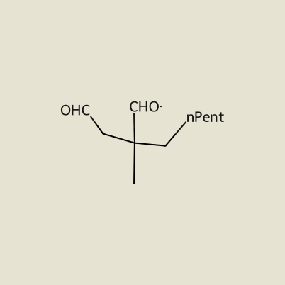 CCCCCCC(C)([C]=O)CC=O